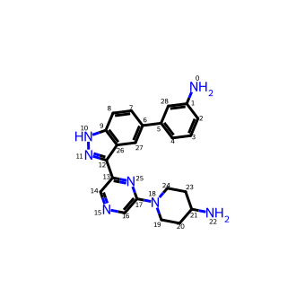 Nc1cccc(-c2ccc3[nH]nc(-c4cncc(N5CCC(N)CC5)n4)c3c2)c1